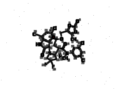 Cc1oc(=O)oc1COC(=O)C1[C@@H](C(=O)N(C)c2cc(Cl)cc(Cl)c2)[C@H]2CC(F)(F)CN2[C@]12C(=O)Nc1c(Cl)cc(Cl)cc12